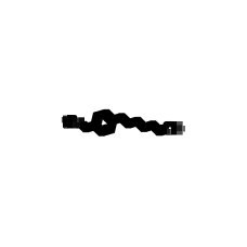 [CH]=CCCCCCc1ccc(CC(C)(C)C)cc1